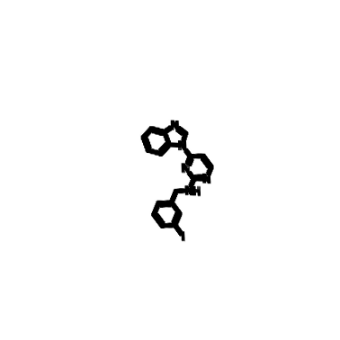 Ic1cccc(CNc2nccc(-n3cnc4ccccc43)n2)c1